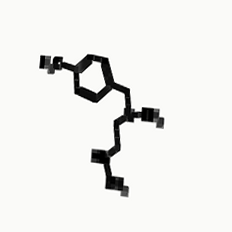 BNCCN(B)Cc1ccc(C)cc1